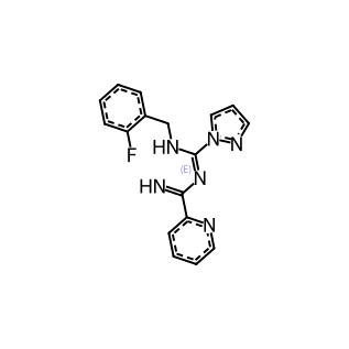 N=C(/N=C(\NCc1ccccc1F)n1cccn1)c1ccccn1